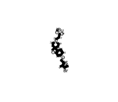 Cc1c(Br)csc1COc1ccc2c(c1)OCC21CCN(CCC(=O)OC(C)(C)C)CC1